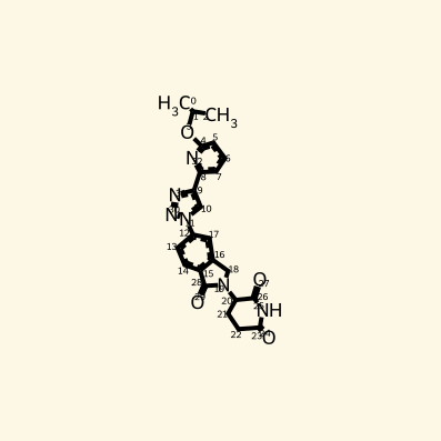 CC(C)Oc1cccc(-c2cn(-c3ccc4c(c3)CN(C3CCC(=O)NC3=O)C4=O)nn2)n1